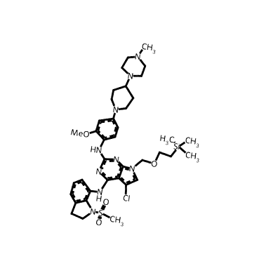 COc1cc(N2CCC(N3CCN(C)CC3)CC2)ccc1Nc1nc(Nc2cccc3c2N(S(C)(=O)=O)CC3)c2c(Cl)cn(COCC[Si](C)(C)C)c2n1